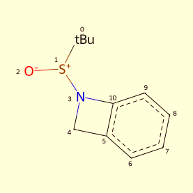 CC(C)(C)[S+]([O-])N1Cc2ccccc21